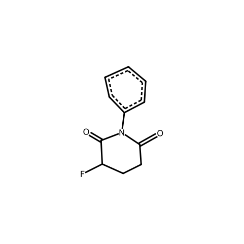 O=C1CCC(F)C(=O)N1c1ccccc1